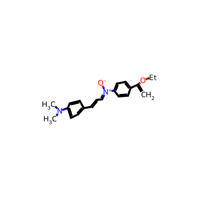 C=C(OCC)c1ccc(/[N+]([O-])=C/C=C/c2ccc(N(C)C)cc2)cc1